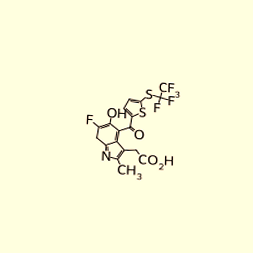 CC1=C(CC(=O)O)C2=C(C(=O)c3ccc(SC(F)(F)C(F)(F)F)s3)C(O)=C(F)CC2=N1